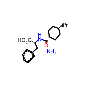 CC(C)[C@H]1CC[C@H](C(=O)N[C@H](Cc2ccccc2)C(=O)O)CC1.N